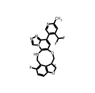 Cc1cc(C(F)F)c(-c2cc3c(n4cnnc24)NCc2c(F)ccc4c2[C@H](CO4)CO3)cn1